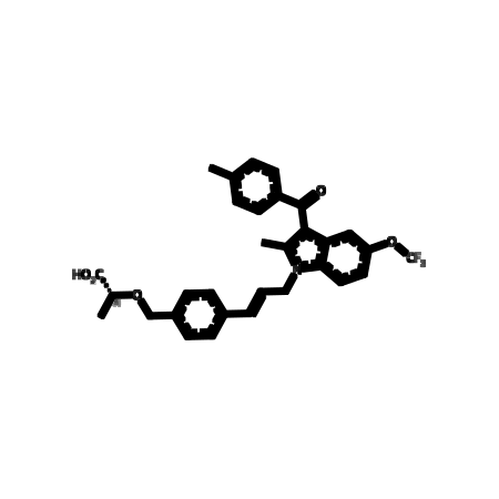 Cc1ccc(C(=O)c2c(C)n(CC=Cc3ccc(CO[C@H](C)C(=O)O)cc3)c3ccc(OC(F)(F)F)cc23)cc1